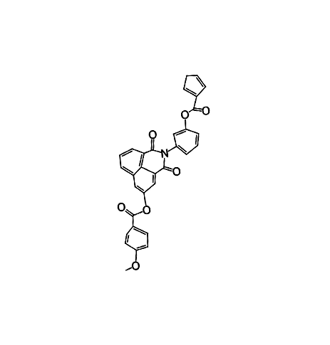 COc1ccc(C(=O)Oc2cc3c4c(cccc4c2)C(=O)N(c2cccc(OC(=O)C4=CCC=C4)c2)C3=O)cc1